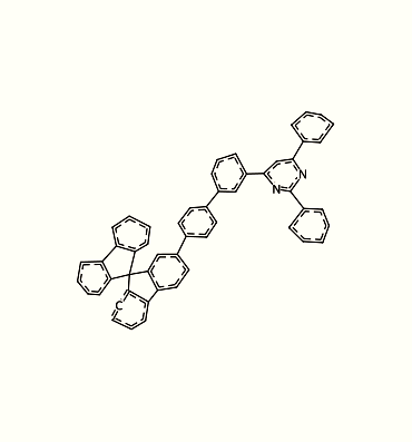 c1ccc(-c2cc(-c3cccc(-c4ccc(-c5ccc6c(c5)C5(c7ccccc7-c7ccccc75)c5ccccc5-6)cc4)c3)nc(-c3ccccc3)n2)cc1